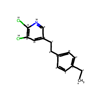 CCc1ccc(CCc2cnc(Cl)c(Cl)c2)cc1